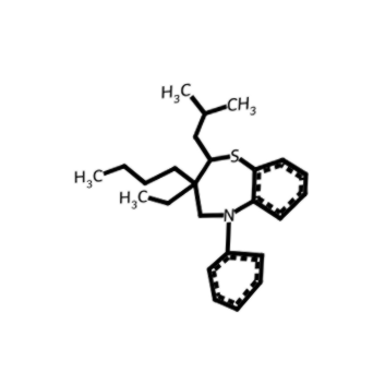 CCCCC1(CC)CN(c2ccccc2)c2ccccc2SC1CC(C)C